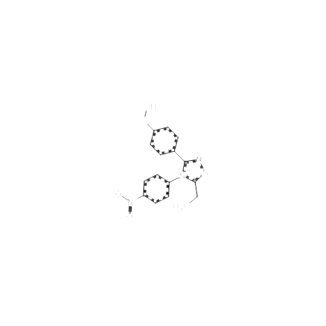 CCc1nnc(-c2ccc(OC)cc2)n1-c1ccc([N+](=O)[O-])cc1